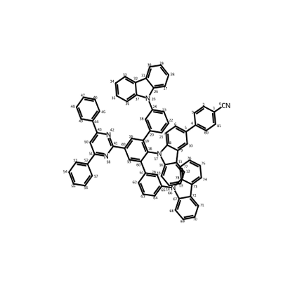 N#Cc1ccc(-c2ccc3c(c2)c2ccccc2n3-c2c(-c3cccc(-n4c5ccccc5c5ccccc54)c3)cc(-c3nc(-c4ccccc4)cc(-c4ccccc4)n3)cc2-c2cccc(-n3c4ccccc4c4ccccc43)c2)cc1